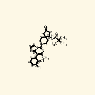 Cc1nc(N2CCC3(CC2)CC(=O)C[C@H]3N[S+]([O-])C(C)(C)C)n2ccnc2c1-c1cccc(Cl)c1Cl